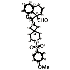 COc1ccc(S(=O)(=O)N2CCC3(CC2)CN(C(=O)C2(C=O)C=CCc4ccccc42)C3)cc1